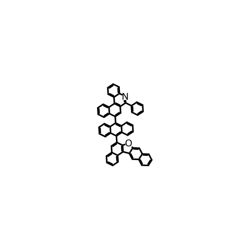 c1ccc(-c2nc3ccccc3c3c2cc(-c2c4ccccc4c(-c4cc5ccccc5c5c4oc4cc6ccccc6cc45)c4ccccc24)c2ccccc23)cc1